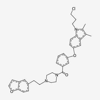 Cc1c(C)n(CCCCl)c2ccc(Oc3cccc(C(=O)N4CCN(CCc5ccc6occc6c5)CC4)c3)cc12